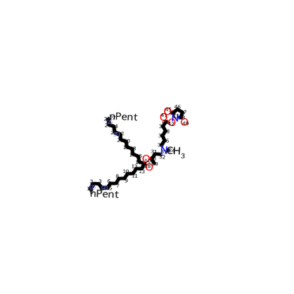 CCCCC/C=C\C/C=C\CCCCCCCCC1(CCCCCCC/C=C/C/C=C\CCCCC)OCC(CCN(C)CCCCCC(=O)ON2C(=O)CCC2=O)O1